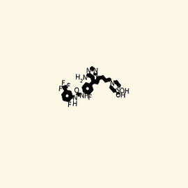 Nc1ncnn2c(CCCN3CCS(O)(O)CC3)cc(-c3ccc(NC(=O)Nc4cc(C(F)(F)F)ccc4F)c(F)c3)c12